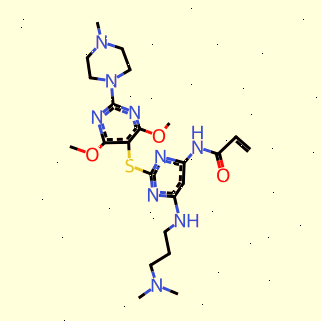 C=CC(=O)Nc1cc(NCCCN(C)C)nc(Sc2c(OC)nc(N3CCN(C)CC3)nc2OC)n1